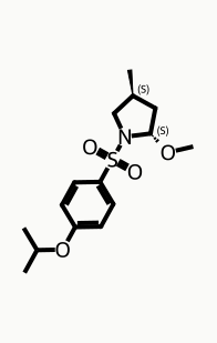 CO[C@H]1C[C@H](C)CN1S(=O)(=O)c1ccc(OC(C)C)cc1